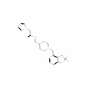 CC1(C)Cc2c(CN3CCC(CNC(=O)Cn4ccnc4)CC3)cccc2O1